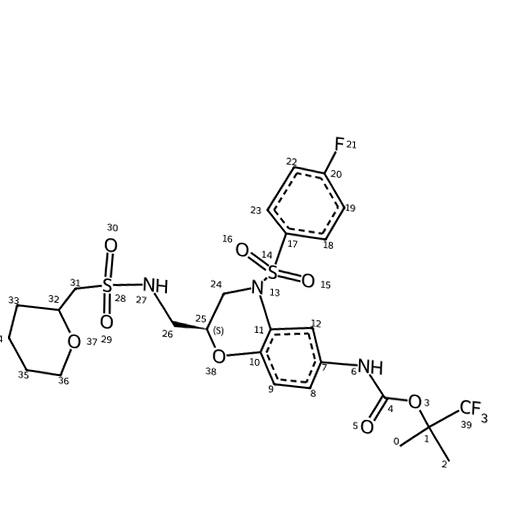 CC(C)(OC(=O)Nc1ccc2c(c1)N(S(=O)(=O)c1ccc(F)cc1)C[C@H](CNS(=O)(=O)CC1CCCCO1)O2)C(F)(F)F